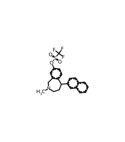 CN1CCC(c2ccc3ccccc3c2)c2ccc(OS(=O)(=O)C(F)(F)F)cc2C1